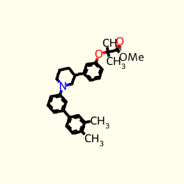 COC(=O)C(C)(C)Oc1cccc(C2CCCN(c3cccc(-c4ccc(C)c(C)c4)c3)C2)c1